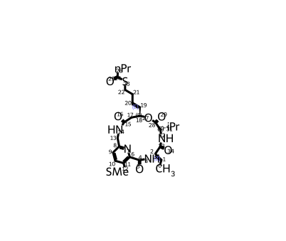 C/C=C1\NC(=O)c2nc(ccc2SC)CNC(=O)C[C@@H](/C=C/CCSC(=O)CCC)OC(=O)[C@H](C(C)C)NC1=O